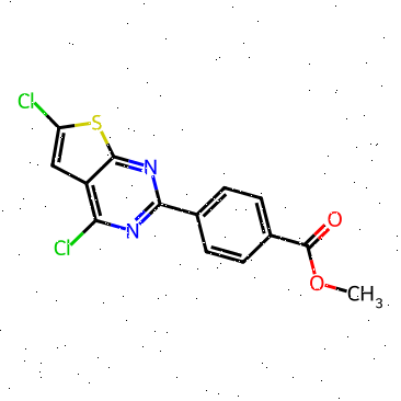 COC(=O)c1ccc(-c2nc(Cl)c3cc(Cl)sc3n2)cc1